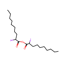 CCCCCCCCC(I)C(=O)OC(=O)C(I)CCCCCCCC